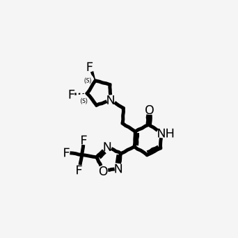 O=c1[nH]ccc(-c2noc(C(F)(F)F)n2)c1CCN1C[C@H](F)[C@@H](F)C1